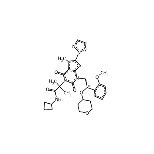 COc1ccccc1[C@H](Cn1c(=O)n(C(C)(C)C(=O)NC2CCC2)c(=O)c2c(C)c(-n3nccn3)sc21)OC1CCOCC1